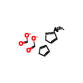 C1=CCC=C1.C1=CCC=C1.O=C[O-].O=C[O-].[Al+2]